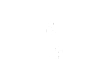 CCCCOc1ccc(C2CCC(c3ccc(-c4ccc(C)cc4)c(F)c3F)CC2)c(F)c1F